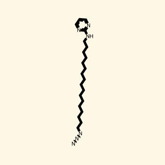 [N-]=[N+]=NCCCCCCCCCCCCCCCCCNc1ncccn1